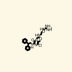 Cc1c(Cl)nc(NCC(c2ccccc2)c2ccccc2)c(=O)n1CC(=O)NCCONC(=N)N